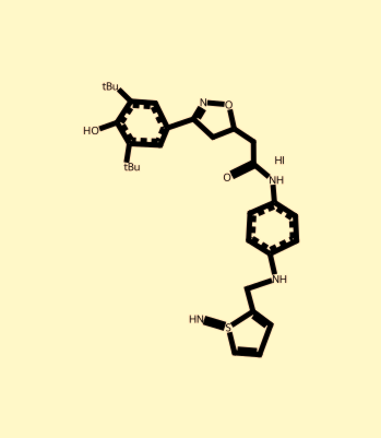 CC(C)(C)c1cc(C2=NOC(CC(=O)Nc3ccc(NCC4=CC=CS4=N)cc3)C2)cc(C(C)(C)C)c1O.I